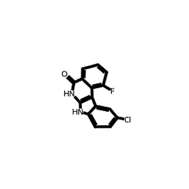 O=c1[nH]c2[nH]c3ccc(Cl)cc3c2c2c(F)cccc12